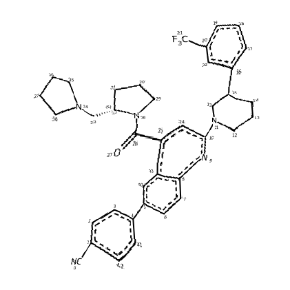 N#Cc1ccc(-c2ccc3nc(N4CCCC(c5cccc(C(F)(F)F)c5)C4)cc(C(=O)N4CCC[C@H]4CN4CCCC4)c3c2)cc1